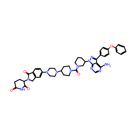 Nc1ncnc2c1c(-c1ccc(Oc3ccccc3)cc1)nn2C1CCCN(C(=O)N2CCC(N3CCN(c4ccc5c(c4)CN(C4CCC(=O)NC4=O)C5=O)CC3)CC2)C1